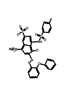 Cc1ccc(S(=O)(=O)Nc2cc(S(=O)(=O)[O-])cc3c(S(=O)(=O)O)cc(N=Nc4ccccc4Oc4ccccc4)c([O-])c23)cc1.[Na+].[Na+]